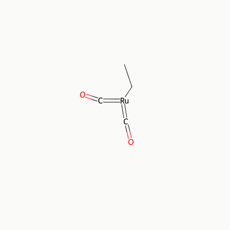 C[CH2][Ru](=[C]=O)=[C]=O